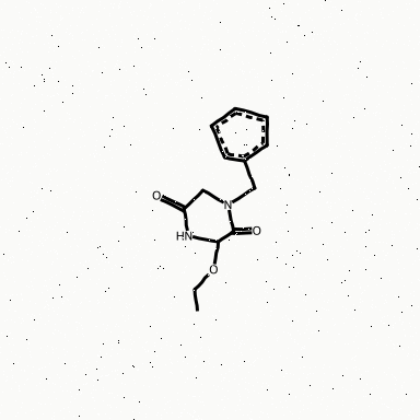 CCOC1NC(=O)CN(Cc2ccccc2)C1=O